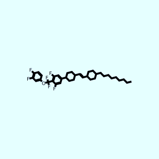 CCCCCCCCCC1CCC(/C=C/C2CCC(c3cc(F)c(C(F)(F)Oc4ccc(F)c(F)c4)c(F)c3)CC2)CC1